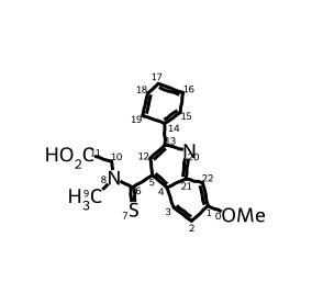 COc1ccc2c(C(=S)N(C)CC(=O)O)cc(-c3ccccc3)nc2c1